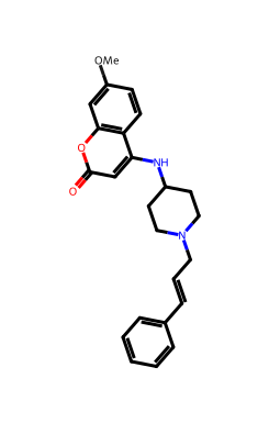 COc1ccc2c(NC3CCN(C/C=C/c4ccccc4)CC3)cc(=O)oc2c1